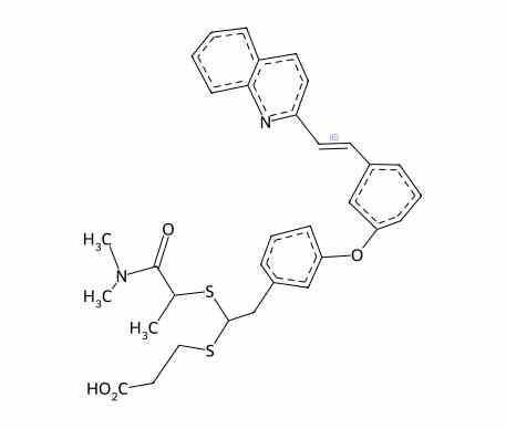 CC(SC(Cc1cccc(Oc2cccc(/C=C/c3ccc4ccccc4n3)c2)c1)SCCC(=O)O)C(=O)N(C)C